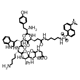 CCC(C)[C@H](NC(=O)[C@@H](NC(=O)[C@H](CCCCN)NC(=O)[C@H](Cc1c[nH]c2ccccc12)NC(=O)[C@H](CCC(=O)NCCCCNS(=O)(=O)c1cccc2c(N(C)C)cccc12)NC(=O)[C@@H](N)Cc1ccc(O)cc1)C(C)C)C(=O)NCC(=O)I